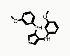 COc1cccc(Pc2cscc2Pc2cccc(OC)c2)c1